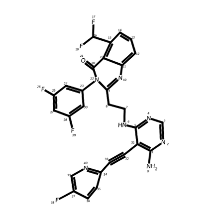 Nc1ncnc(NCCc2nc3cccc(C(F)F)c3c(=O)n2-c2cc(F)cc(F)c2)c1C#Cc1ccc(F)cn1